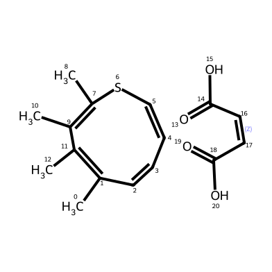 Cc1ccccsc(C)c(C)c1C.O=C(O)/C=C\C(=O)O